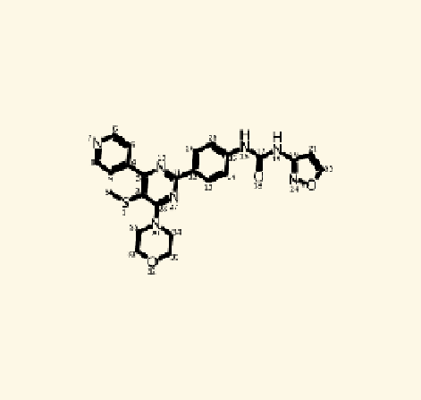 CSc1c(-c2ccncc2)nc(-c2ccc(NC(=O)Nc3ccon3)cc2)nc1N1CCOCC1